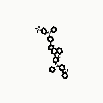 C[Si](C)(C)c1ccc(N(c2ccccc2)c2ccc(-c3ccc4cc5c6c(cccc6c4c3)Oc3cc(N(c4ccccc4)c4ccc6oc7ccccc7c6c4)ccc3-5)cc2)cc1